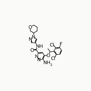 CC(Oc1cc(C(=O)Nc2cnn(C3CCCOC3)c2)nnc1N)c1c(Cl)ccc(F)c1Cl